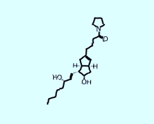 CCCCC[C@H](O)/C=C/[C@@H]1[C@H]2CC(CCCC(=O)N3CCCC3)=C[C@H]2C[C@H]1O